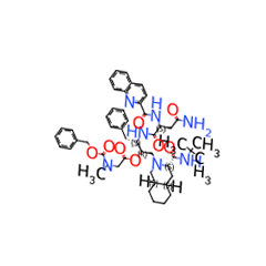 CN(CC(=O)O[C@H](CN1C[C@H]2CCCC[C@H]2C[C@H]1C(=O)NC(C)(C)C)[C@H](Cc1ccccc1)NC(=O)[C@H](CC(N)=O)NC(=O)c1ccc2ccccc2n1)C(=O)OCc1ccccc1